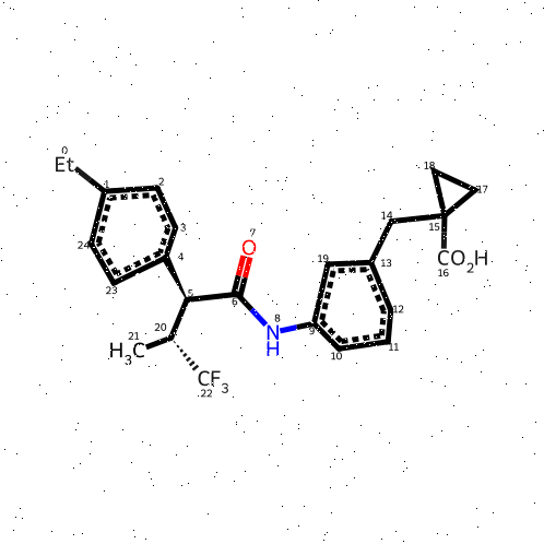 CCc1ccc([C@@H](C(=O)Nc2cccc(CC3(C(=O)O)CC3)c2)[C@@H](C)C(F)(F)F)cc1